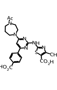 CC(=O)N1CCCN(c2cc(-c3ccc(C(=O)O)cc3)nc(Nc3nc(C)c(C(=O)O)s3)n2)CC1